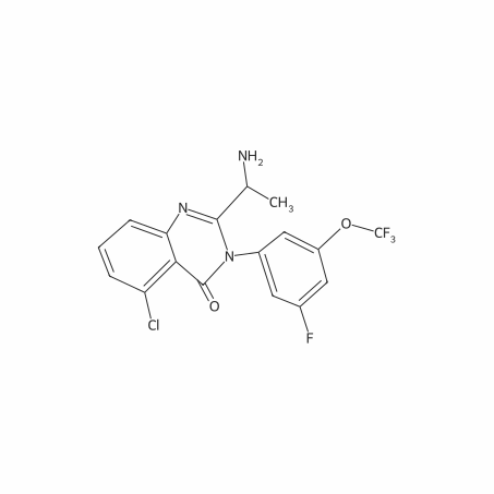 CC(N)c1nc2cccc(Cl)c2c(=O)n1-c1cc(F)cc(OC(F)(F)F)c1